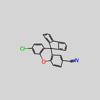 N#Cc1ccc2c(c1)C1(c3ccc(Cl)cc3O2)c2ccccc2-c2ccccc21